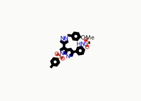 COc1ccc(Cn2cc(-c3cn(S(=O)(=O)c4ccc(C)cc4)c4ncc(-c5cccc(NS(C)(=O)=O)c5)cc34)cn2)cc1